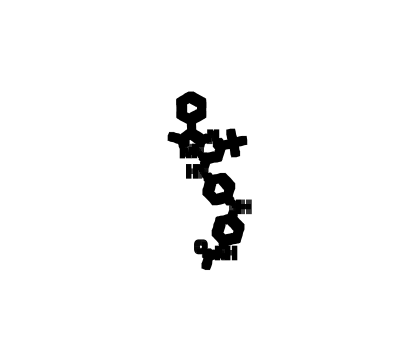 CC(=O)Nc1ccc(Nc2ccc(Nc3cc(C(C)(C)C)nc4c(-c5ccccc5)c(C)nn34)cc2)cc1